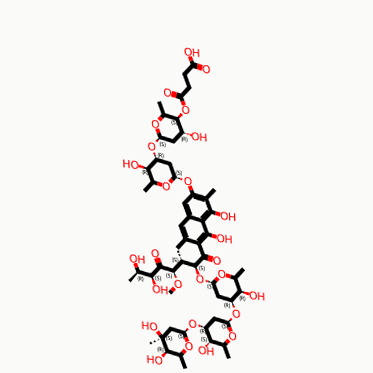 CO[C@H](C(=O)[C@@H](O)[C@@H](C)O)[C@@H]1Cc2cc3cc(O[C@H]4C[C@@H](O[C@H]5C[C@@H](O)[C@H](OC(=O)CCC(=O)O)C(C)O5)[C@H](O)C(C)O4)c(C)c(O)c3c(O)c2C(=O)[C@H]1O[C@H]1C[C@@H](O[C@H]2C[C@@H](O[C@H]3C[C@](C)(O)[C@H](O)C(C)O3)[C@@H](O)C(C)O2)[C@H](O)C(C)O1